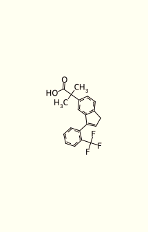 CC(C)(C(=O)O)c1ccc2c(c1)C(c1ccccc1C(F)(F)F)=CC2